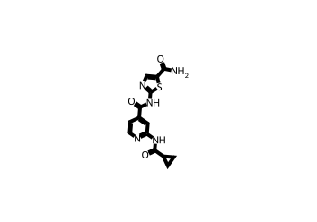 NC(=O)c1cnc(NC(=O)c2ccnc(NC(=O)C3CC3)c2)s1